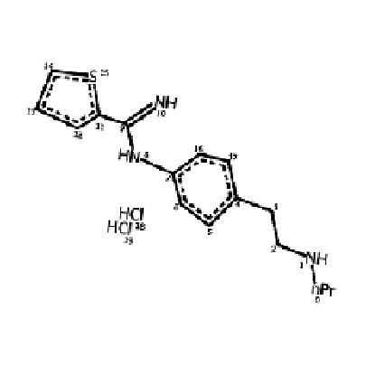 CCCNCCc1ccc(NC(=N)c2cccs2)cc1.Cl.Cl